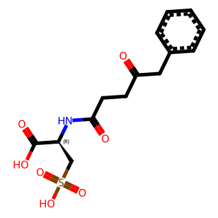 O=C(CCC(=O)N[C@@H](CS(=O)(=O)O)C(=O)O)Cc1ccccc1